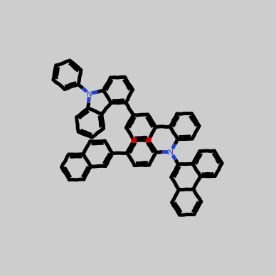 C1=CC2C=C(N(c3ccc(-c4ccc5ccccc5c4)cc3)c3ccccc3-c3cccc(-c4cccc5c4c4ccccc4n5-c4ccccc4)c3)c3ccccc3C2C=C1